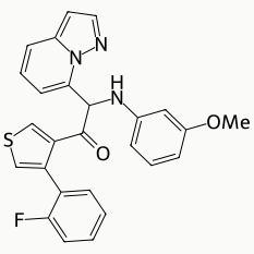 COc1cccc(NC(C(=O)c2cscc2-c2ccccc2F)c2cccc3ccnn23)c1